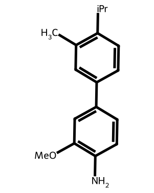 COc1cc(-c2ccc(C(C)C)c(C)c2)ccc1N